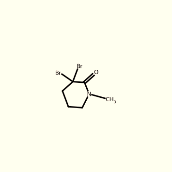 CN1CCCC(Br)(Br)C1=O